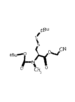 CN(C(=O)OC(C)(C)C)[C@@H](CSSC(C)(C)C)C(=O)OCC#N